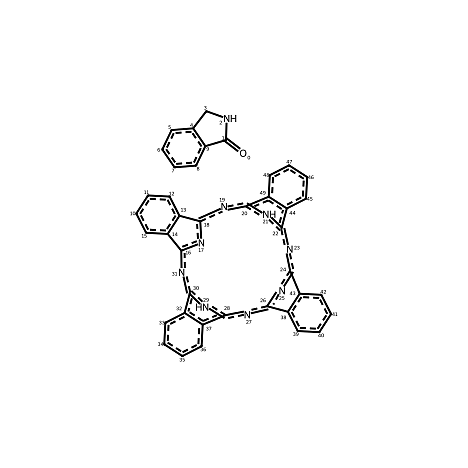 O=C1NCc2ccccc21.c1ccc2c(c1)-c1nc-2nc2[nH]c(nc3nc(nc4[nH]c(n1)c1ccccc41)-c1ccccc1-3)c1ccccc21